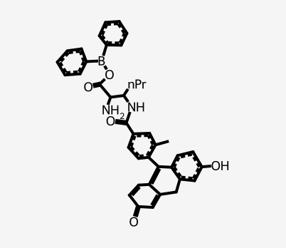 CCCC(NC(=O)c1ccc(C2=C3C=CC(=O)C=C3Cc3cc(O)ccc32)c(C)c1)C(N)C(=O)OB(c1ccccc1)c1ccccc1